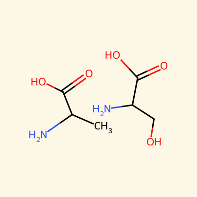 CC(N)C(=O)O.NC(CO)C(=O)O